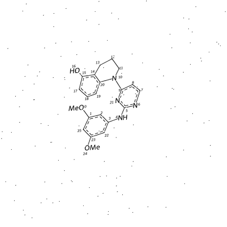 COc1cc(Nc2nccc(N3CCCc4c(O)cccc43)n2)cc(OC)c1